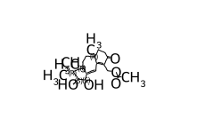 CC(=O)OCC1=C2C=C3[C@H](O)[C@@H](O)[C@H](C(C)C)[C@@]3(C)CC[C@]2(C)CCC1=O